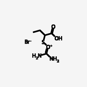 CCC(S[O+]=C(N)N)C(=O)O.[Br-]